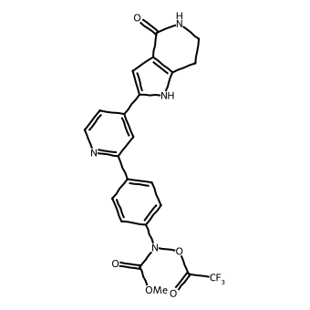 COC(=O)N(OC(=O)C(F)(F)F)c1ccc(-c2cc(-c3cc4c([nH]3)CCNC4=O)ccn2)cc1